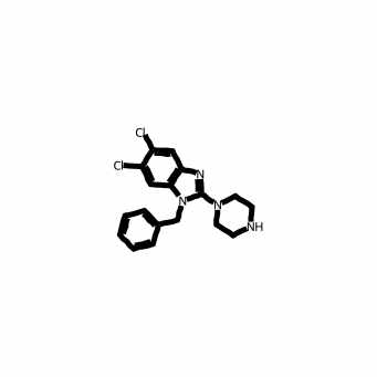 Clc1cc2nc(N3CCNCC3)n(Cc3ccccc3)c2cc1Cl